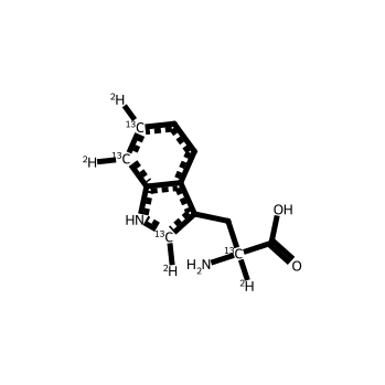 [2H][13c]1[nH]c2c(cc[13c]([2H])[13c]2[2H])c1C[13C]([2H])(N)C(=O)O